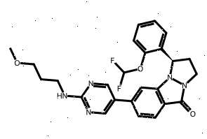 COCCCNc1ncc(-c2ccc3c(=O)n4n(c3c2)[C@@H](c2ccccc2OC(F)F)CC4)cn1